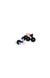 O=C(c1ccc(F)cn1)N1CCC2(CC(O)c3cc(-c4ccccc4C4CC4)ccc32)C1